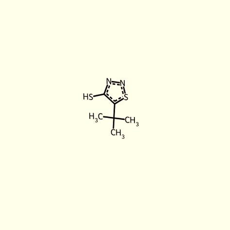 CC(C)(C)c1snnc1S